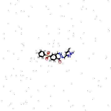 Cc1cc(Cn2ncc3cc(S(=O)(=O)c4ccccc4)ccc3c2=O)nn1C